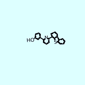 Oc1cccc(-c2cccc(-c3cccc4c3sc3ccccc34)n2)c1